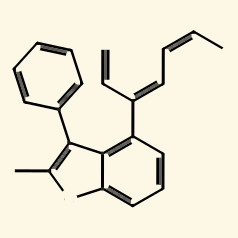 C=C/C(=C\C=C/C)c1cccc2oc(C)c(-c3ccccc3)c12